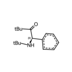 CC(C)(C)N[C@@H](C(=O)C(C)(C)C)c1ccccc1